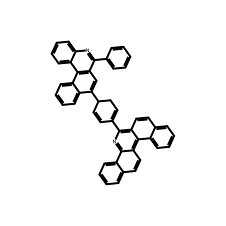 C1=CC(c2cc3c(-c4ccccc4)nc4ccccc4c3c3ccccc23)CC=C1c1nc2c3ccccc3ccc2c2c1ccc1ccccc12